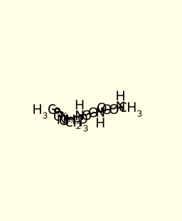 CNCCOCCOCC(=O)NCCOCCOCC(=O)NCCCC[C@H](C)C(=O)C[C@@H](Cc1ccc(C)cc1)C(N)=O